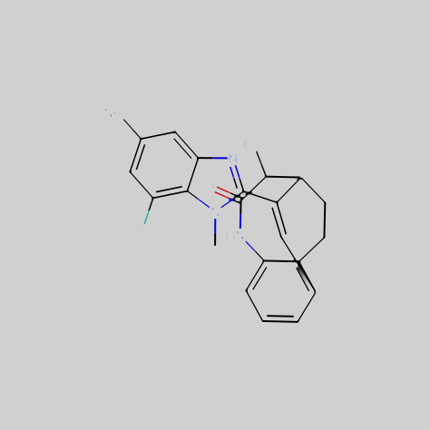 CCC1C(=O)Nc2cccc3c2CCC1C(c1nc2cc(C#N)cc(F)c2n1C)=C3